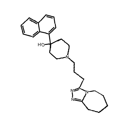 OC1(c2cccc3ccccc23)CCN(CCCc2nnc3n2CCCCC3)CC1